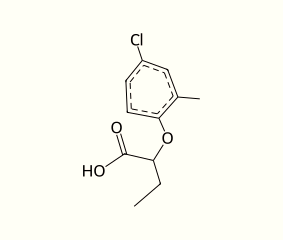 CCC(Oc1ccc(Cl)cc1C)C(=O)O